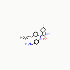 NCc1ccc(N/C(=C2\C(=O)Nc3cc(F)ccc32)c2cccc(CCC(=O)O)c2)cc1